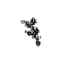 C[C@@H]1CN(CC(=O)N2c3cc(Cc4ccc(F)cc4)c(C(=O)NCCN4CCOCC4)nc3OC[C@@H]2C)C(CN2[C@H](C)COC[C@H]2C)CN1C(=O)OC(C)(C)C